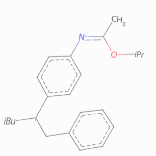 CCC(C)[C](Cc1ccccc1)c1ccc(N=C(C)OC(C)C)cc1